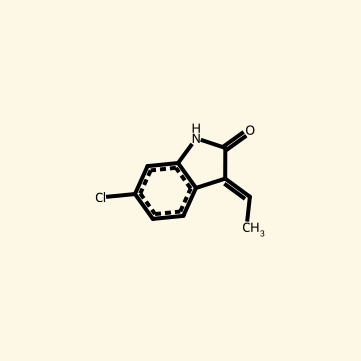 C/C=C1/C(=O)Nc2cc(Cl)ccc21